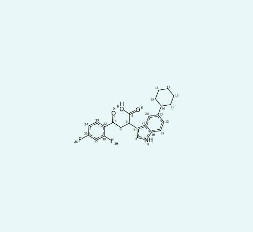 O=C(CC(C(=O)O)c1c[nH]c2ccc(C3CCCCC3)cc12)c1ccc(F)cc1F